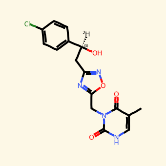 [2H][C@](O)(Cc1noc(Cn2c(=O)[nH]cc(C)c2=O)n1)c1ccc(Cl)cc1